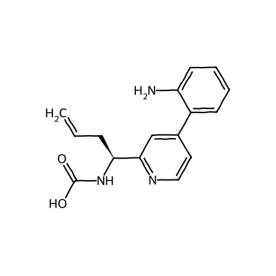 C=CC[C@H](NC(=O)O)c1cc(-c2ccccc2N)ccn1